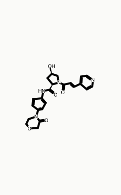 O=C(Nc1ccc(N2CCOCC2=O)cc1)[C@H]1C[C@@H](O)CN1C(=O)C=Cc1ccncc1